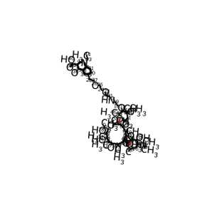 CC[C@H]1OC(=O)[C@H](C)[C@@H](O[C@H]2C[C@@](C)(OC)[C@@H](OCCNCCOCCOCCc3ccc4c(c3)c(=O)c(C(=O)O)cn4CC)[C@H](C)O2)[C@H](C)[C@@H](O[C@@H]2O[C@H](C)C[C@H](N(C)C)[C@H]2O)[C@](C)(OC)C[C@@H](C)C(=O)[C@H](C)[C@@H](O)[C@]1(C)O